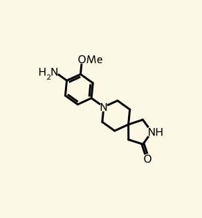 COc1cc(N2CCC3(CC2)CNC(=O)C3)ccc1N